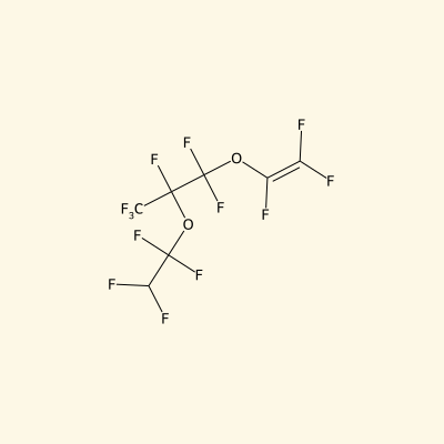 FC(F)=C(F)OC(F)(F)C(F)(OC(F)(F)C(F)F)C(F)(F)F